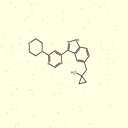 CC1(Cc2ccc3[nH]nc(-c4cc(N5CCOCC5)ncn4)c3c2)CC1